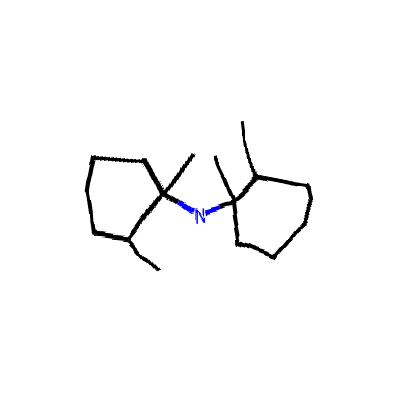 CC1CCCCC1(C)[N]C1(C)CCCCC1C